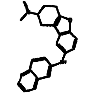 CN(C)C1CCc2oc3ccc(Nc4ccc5ccccc5c4)cc3c2C1